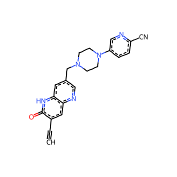 C#Cc1cc2ncc(CN3CCN(c4ccc(C#N)nc4)CC3)cc2[nH]c1=O